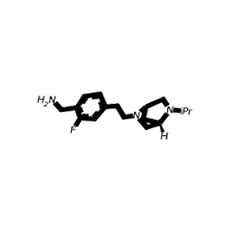 CC(C)N1CC2C[C@H]1CN2CCc1ccc(CN)c(F)c1